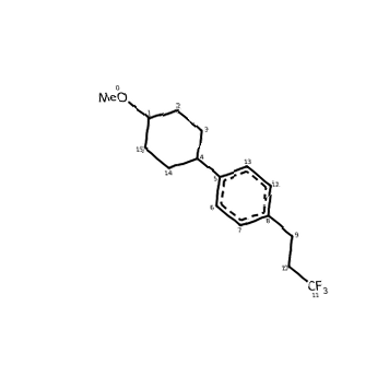 COC1CCC(c2ccc(CCC(F)(F)F)cc2)CC1